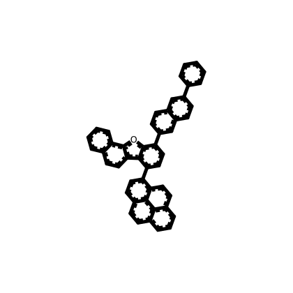 c1ccc(-c2ccc3cc(-c4ccc(-c5ccc6ccc7cccc8ccc5c6c78)c5c4oc4c6ccccc6ccc45)ccc3c2)cc1